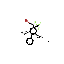 CC1=CC(CCBr)(C(F)(F)F)CC(C)=C1c1ccccc1